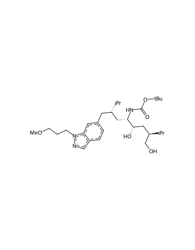 COCCCn1ncc2ccc(C[C@@H](C[C@H](NC(=O)OC(C)(C)C)[C@@H](O)C[C@H](CO)C(C)C)C(C)C)cc21